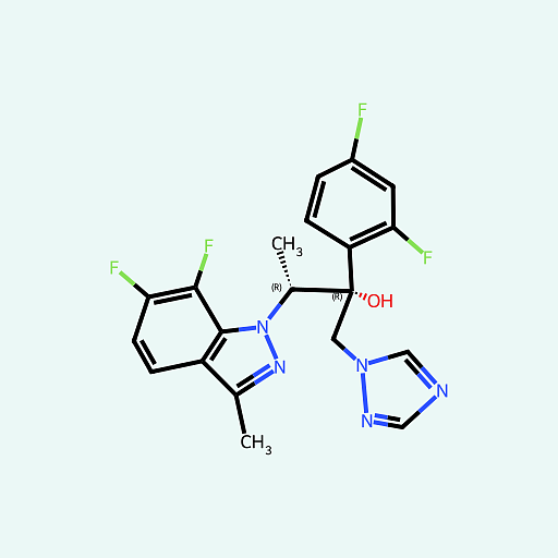 Cc1nn([C@H](C)[C@](O)(Cn2cncn2)c2ccc(F)cc2F)c2c(F)c(F)ccc12